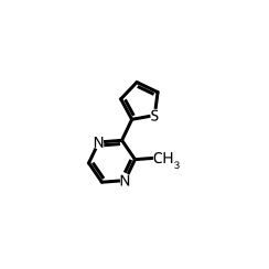 Cc1nccnc1-c1cccs1